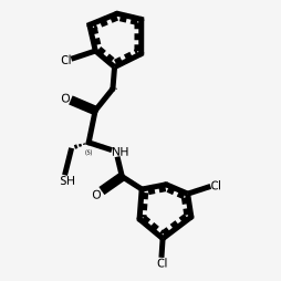 O=C(N[C@H](CS)C(=O)[CH]c1ccccc1Cl)c1cc(Cl)cc(Cl)c1